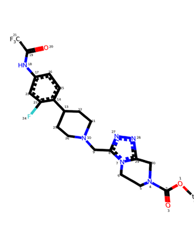 CC(C)(C)OC(=O)N1CCn2c(CN3CCC(c4ccc(NC(=O)C(F)(F)F)cc4F)CC3)nnc2C1